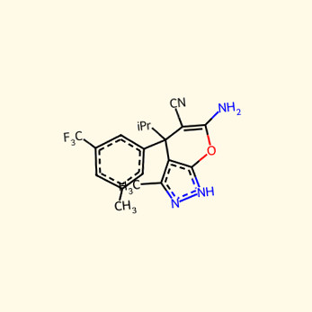 Cc1cc(C(F)(F)F)cc(C2(C(C)C)C(C#N)=C(N)Oc3[nH]nc(C)c32)c1